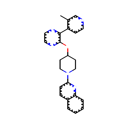 Cc1cnccc1-c1nccnc1OC1CCN(c2ccc3ccccc3n2)CC1